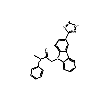 CN(C(=O)Cn1c2ccccc2c2cc(-c3nn[nH]n3)ccc21)c1ccccc1